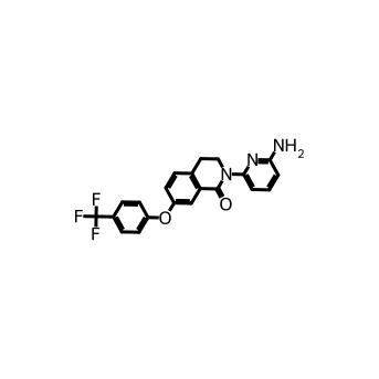 Nc1cccc(N2CCc3ccc(Oc4ccc(C(F)(F)F)cc4)cc3C2=O)n1